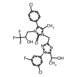 Cc1c(-c2ccc(Cl)cc2)n(CC(O)C(F)(F)F)c(=O)n1Cc1nc(C(C)O)n(-c2cc(F)cc(Cl)c2)n1